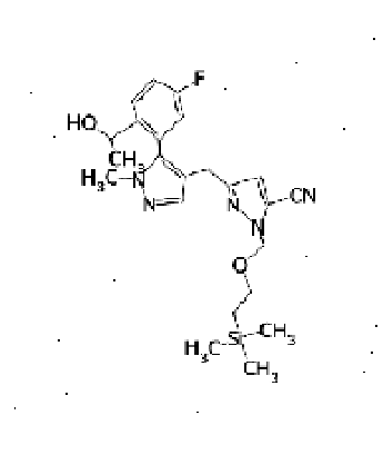 CC(O)c1ccc(F)cc1-c1c(Cc2cc(C#N)n(COCC[Si](C)(C)C)n2)cnn1C